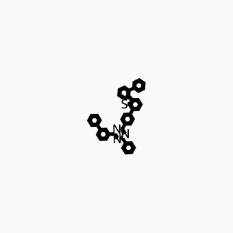 c1ccc(-c2cccc(-c3nc(-c4ccccc4)nc(-c4ccc(-c5cccc6c5sc5cccc(-c7ccccc7)c56)cc4)n3)c2)cc1